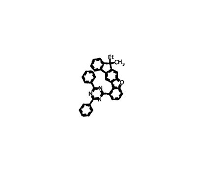 CCC1(C)c2ccccc2-c2cc3c(cc21)oc1cccc(-c2nc(-c4ccccc4)nc(-c4ccccc4)n2)c13